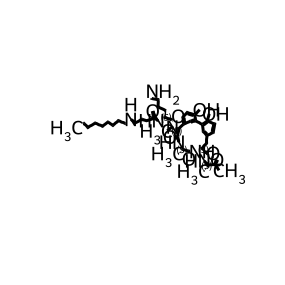 CCCCCCCCCNCCCC(=O)N[C@@H](CCCCN)C(=O)N(C)[C@@H]1C(=O)N[C@@H](C)C(=O)N[C@H](C(=O)N[C@@H](C)C(C)=O)Cc2ccc(O)c(c2)-c2cc1ccc2O